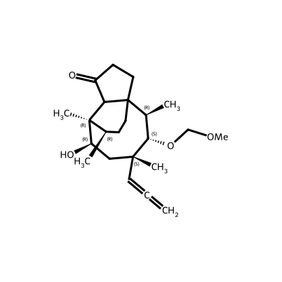 C=C=C[C@]1(C)C[C@@H](O)[C@@]2(C)C3C(=O)CCC3(CC[C@H]2C)[C@@H](C)[C@@H]1OCOC